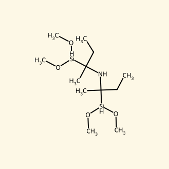 CCC(C)(NC(C)(CC)[SiH](OC)OC)[SiH](OC)OC